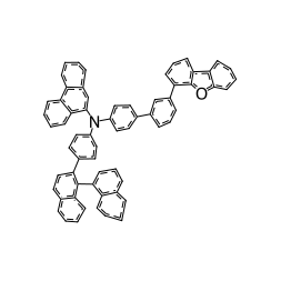 c1cc(-c2ccc(N(c3ccc(-c4ccc5ccccc5c4-c4cccc5ccccc45)cc3)c3cc4ccccc4c4ccccc34)cc2)cc(-c2cccc3c2oc2ccccc23)c1